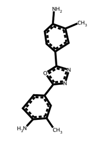 Cc1cc(-c2nnc(-c3ccc(N)c(C)c3)o2)ccc1N